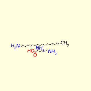 CCCCCCCCCCCCCCCCCCN.NCCCCC(N)C(=O)O